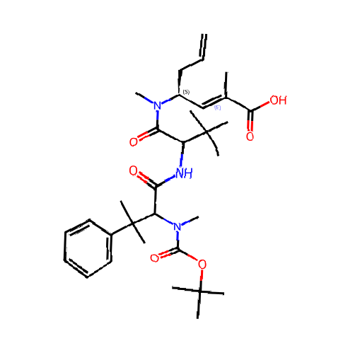 C=CC[C@@H](/C=C(\C)C(=O)O)N(C)C(=O)C(NC(=O)C(N(C)C(=O)OC(C)(C)C)C(C)(C)c1ccccc1)C(C)(C)C